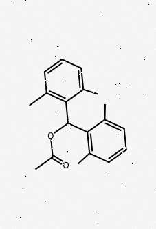 CC(=O)OC(c1c(C)cccc1C)c1c(C)cccc1C